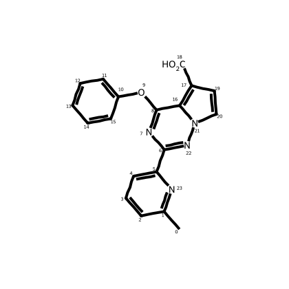 Cc1cccc(-c2nc(Oc3ccccc3)c3c(C(=O)O)ccn3n2)n1